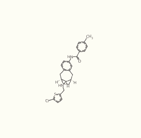 Cc1ccc(C(=O)Nc2ccc3c(c2)C[C@H]2CC[C@@H](C3)[C@H]2NCc2ccc(Cl)s2)cc1